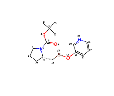 CC(C)(C)OC(=O)N1CCC[C@H]1CSOc1cccnc1